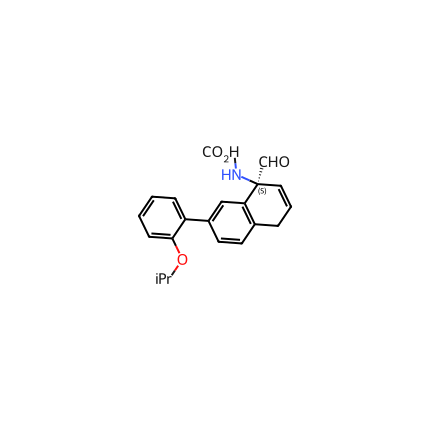 CC(C)Oc1ccccc1-c1ccc2c(c1)[C@@](C=O)(NC(=O)O)C=CC2